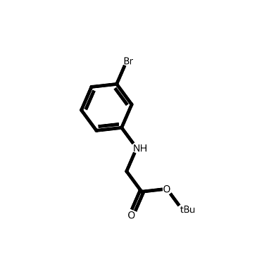 CC(C)(C)OC(=O)CNc1cccc(Br)c1